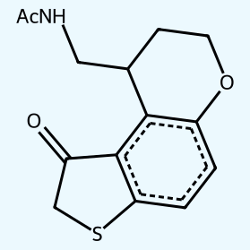 CC(=O)NCC1CCOc2ccc3c(c21)C(=O)CS3